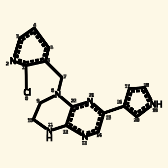 Clc1ncccc1CN1CCNc2ncc(-c3cc[nH]c3)nc21